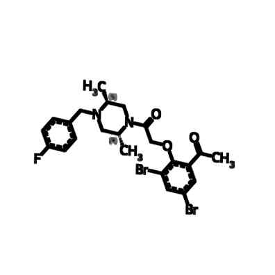 CC(=O)c1cc(Br)cc(Br)c1OCC(=O)N1C[C@H](C)N(Cc2ccc(F)cc2)C[C@H]1C